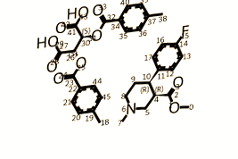 COC(=O)[C@H]1CN(C)CC[C@H]1c1ccc(F)cc1.Cc1ccc(C(=O)O[C@H](C(=O)O)[C@H](OC(=O)c2ccc(C)cc2)C(=O)O)cc1